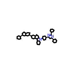 c1ccc(-c2ccc3ccc(-c4ccc5c(ccc6c5c5ccccc5n6-c5ccc(-c6cc(-c7ccccc7)nc(-c7ccccc7)n6)cc5)c4)cc3c2)cc1